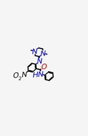 CN1CCN(C)C(=Nc2ccc([N+](=O)[O-])cc2C(=O)Nc2ccccc2)C1